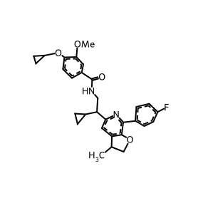 COc1cc(C(=O)NCC(c2cc3c(c(-c4ccc(F)cc4)n2)OCC3C)C2CC2)ccc1OC1CC1